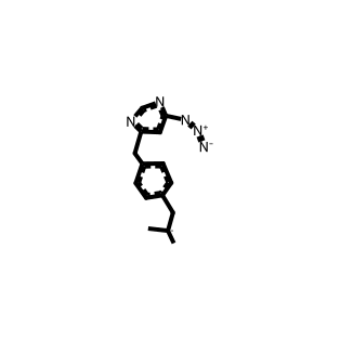 C[C](C)Cc1ccc(Cc2cc(N=[N+]=[N-])ncn2)cc1